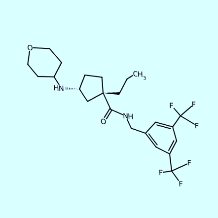 CCC[C@]1(C(=O)NCc2cc(C(F)(F)F)cc(C(F)(F)F)c2)CC[C@@H](NC2CCOCC2)C1